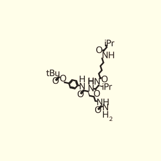 CC(C)CC(=O)NCCCCCC(=O)N[C@H](C(=O)N[C@@H](CCCNC(N)=O)C(=O)Nc1ccc(COC(=O)C(C)(C)C)cc1)C(C)C